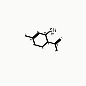 C=C(C)C1CCC(C)=CC1S